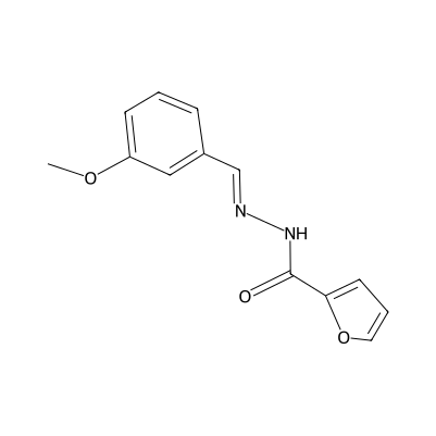 COc1cccc(C=NNC(=O)c2ccco2)c1